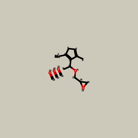 CC1=CC[C]([Mn])=C1C(C)OCC1CO1.[C]=O.[C]=O.[C]=O